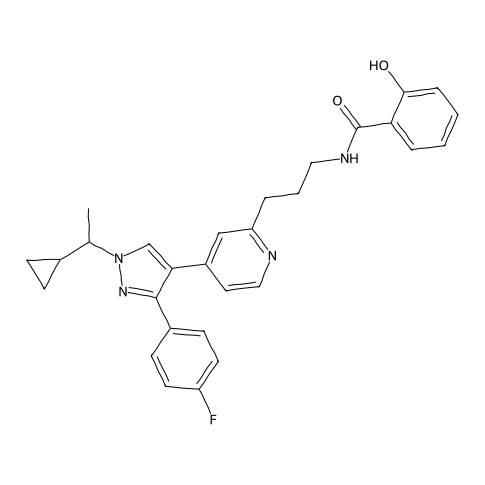 CC(C1CC1)n1cc(-c2ccnc(CCCNC(=O)c3ccccc3O)c2)c(-c2ccc(F)cc2)n1